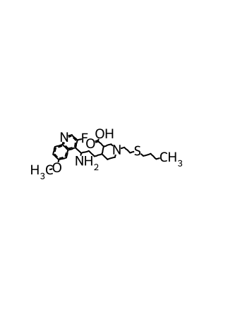 CCCCSCCN1CCC(CCC(N)c2c(F)cnc3ccc(OC)cc23)C(C(=O)O)C1